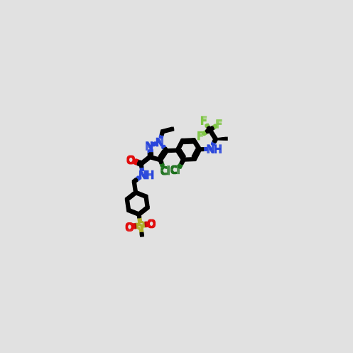 CCn1nc(C(=O)NCC2CCC(S(C)(=O)=O)CC2)c(Cl)c1-c1ccc(N[C@H](C)C(F)(F)F)cc1Cl